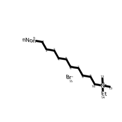 CCCCCCCCCCCCCCCCCCC[N+](C)(C)CC.[Br-]